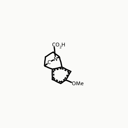 COc1ccc2c(c1)C1CCC2CN1C(=O)O